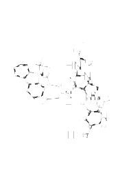 CCC[C@@H](CCO[Si](c1ccccc1)(c1ccccc1)C(C)(C)C)Nc1nc(NC(=O)OC)nc2cnn(Cc3cc(CO)cnc3OC)c12